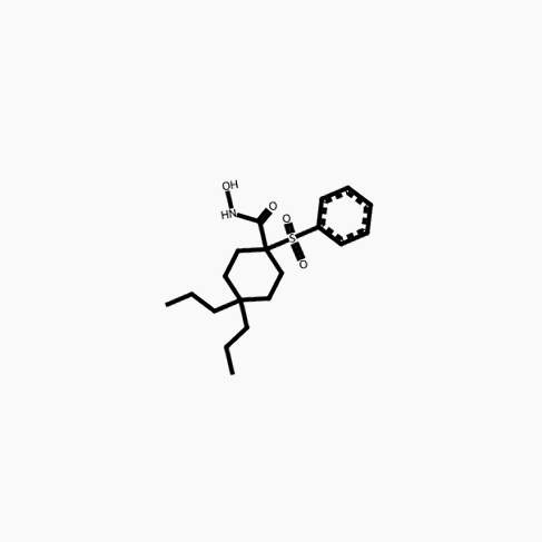 CCCC1(CCC)CCC(C(=O)NO)(S(=O)(=O)c2ccccc2)CC1